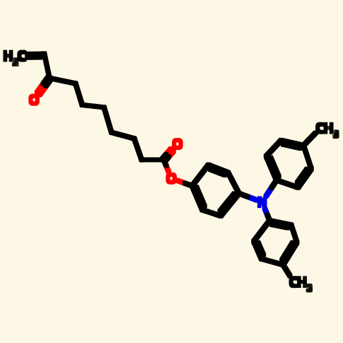 C=CC(=O)CCCCCCC(=O)Oc1ccc(N(c2ccc(C)cc2)c2ccc(C)cc2)cc1